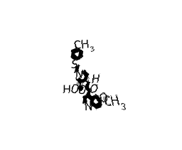 COc1ccc2nccc(C(O)CC[C@@H]3CCN(CCSc4ccc(C)cc4)C[C@@H]3C(=O)O)c2c1